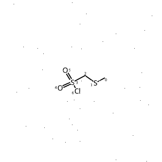 CSCS(=O)(=O)Cl